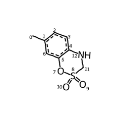 Cc1ccc2c(c1)OS(=O)(=O)CN2